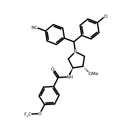 CO[C@H]1CN(C(c2ccc(Cl)cc2)c2ccc(C#N)cc2)C[C@@H]1NC(=O)c1ccc(OC(F)(F)F)cc1